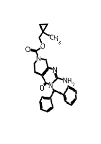 CC1(COC(=O)N2CCc3c(nc(N)n(C(c4ccccc4)c4ccccc4)c3=O)C2)CC1